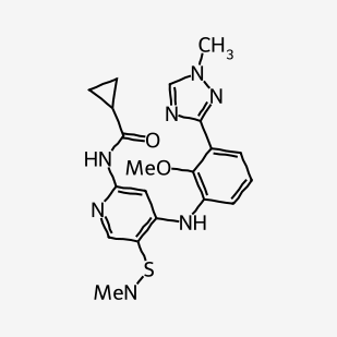 CNSc1cnc(NC(=O)C2CC2)cc1Nc1cccc(-c2ncn(C)n2)c1OC